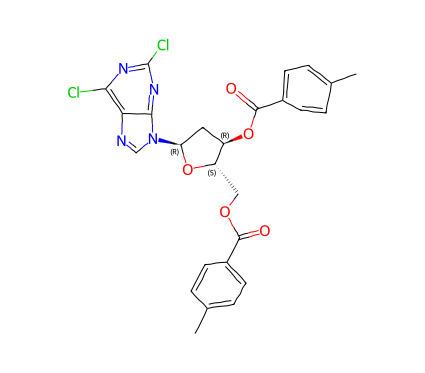 Cc1ccc(C(=O)OC[C@@H]2O[C@@H](n3cnc4c(Cl)nc(Cl)nc43)C[C@H]2OC(=O)c2ccc(C)cc2)cc1